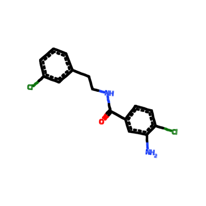 Nc1cc(C(=O)NCCc2cccc(Cl)c2)ccc1Cl